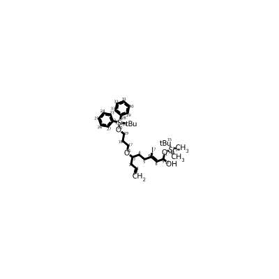 C=CCC(CCC(I)=CC(O)O[Si](C)(C)C(C)(C)C)OCCCO[Si](c1ccccc1)(c1ccccc1)C(C)(C)C